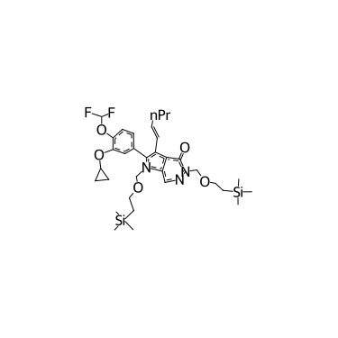 CCC/C=C/c1c(-c2ccc(OC(F)F)c(OC3CC3)c2)n(COCC[Si](C)(C)C)c2cnn(COCC[Si](C)(C)C)c(=O)c12